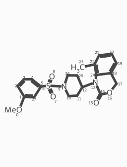 COc1cccc(S(=O)(=O)N2CCC(N3C(=O)OCc4cccc(C)c43)CC2)c1